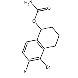 NC(=O)OC1CCCc2c1ccc(F)c2Br